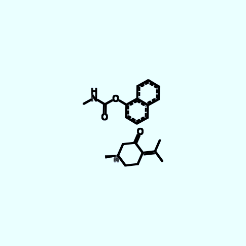 CC(C)=C1CC[C@@H](C)CC1=O.CNC(=O)Oc1cccc2ccccc12